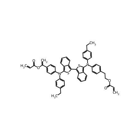 C=CC(=O)OCCc1ccc(N(c2ccc(CC)cc2)c2sc(-c3sc(N(c4ccc(CC)cc4)c4ccc(C(=C)OC(=O)C=C)cc4)c4ccccc34)c3ccccc23)cc1